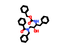 O=C(NC(Cc1ccccc1)[C@H](O)CN(Cc1ccccc1)C(=O)c1ccccc1)OCc1ccccc1